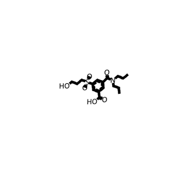 CCCN(CCC)C(=O)c1cc(C(=O)O)cc(S(=O)(=O)CCCO)c1